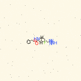 O=C(OCCc1ccccc1)[C@@H]1C[C@H]2C[C@@](F)(CCc3nn[nH]n3)CC[C@H]2CN1